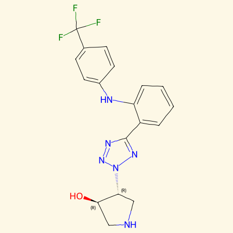 O[C@@H]1CNC[C@H]1n1nnc(-c2ccccc2Nc2ccc(C(F)(F)F)cc2)n1